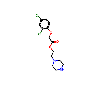 O=C(COc1ccc(Cl)cc1Cl)OCCN1CCNCC1